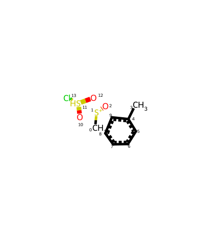 C[S+]=O.Cc1ccccc1.O=[SH](=O)Cl